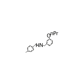 CCCOc1cccc(CNCCc2ccc(C)cc2)c1